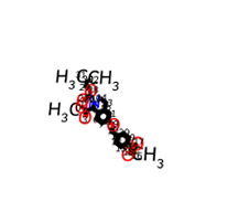 COC(=O)C1c2ccc(OCc3ccc(S(C)(=O)=O)cc3)cc2CCN1C(=O)OCC(C)C